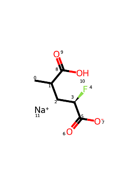 CC(C[C@@H](F)C(=O)[O-])C(=O)O.[Na+]